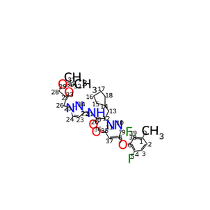 Cc1ccc(F)c(Oc2cnn(C(CC3CCCC3)C(=O)Nc3ccn(CC4COC(C)(C)O4)n3)c(=O)c2)c1F